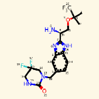 CC(C)(OC[C@H](N)c1nc2cc(CN3CC(F)(F)CNC3=O)ccc2[nH]1)C(F)(F)F